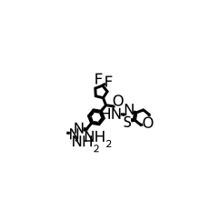 CN(N)/N=C(\N)c1ccc(C(C(=O)Nc2nc3c(s2)COCC3)C2CCC(F)(F)C2)cc1